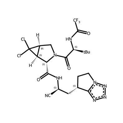 CC(C)(C)[C@H](NC(=O)C(F)(F)F)C(=O)N1C[C@H]2[C@@H]([C@H]1C(=O)N[C@H](C#N)C[C@@H]1CCn3nnnc31)C2(Cl)Cl